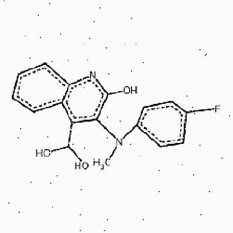 CN(c1ccc(F)cc1)c1c(O)nc2ccccc2c1C(O)O